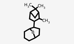 CC1C(C2CCC3[B]C2CCC3)CC2CC1C2(C)C